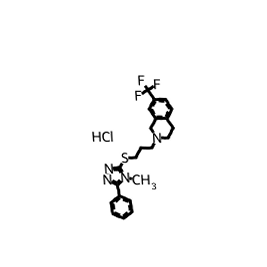 Cl.Cn1c(SCCCN2CCc3ccc(C(F)(F)F)cc3C2)nnc1-c1ccccc1